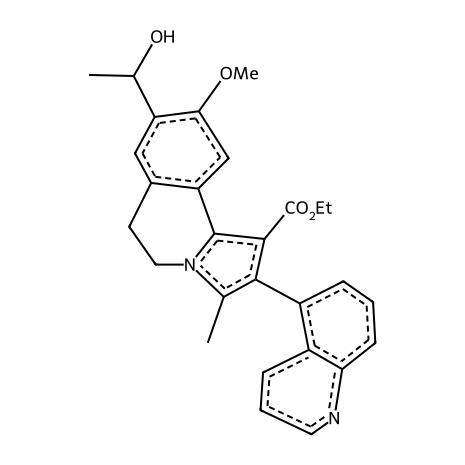 CCOC(=O)c1c(-c2cccc3ncccc23)c(C)n2c1-c1cc(OC)c(C(C)O)cc1CC2